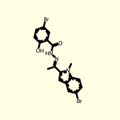 C/C(=N\NC(=O)c1cc(Br)ccc1O)c1cc2cc(Br)ccc2n1C